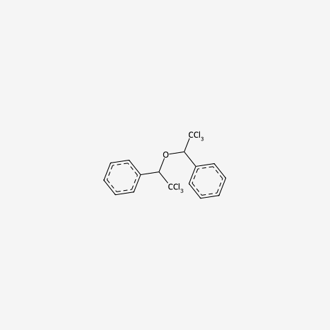 ClC(Cl)(Cl)C(OC(c1ccccc1)C(Cl)(Cl)Cl)c1ccccc1